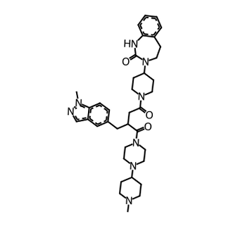 CN1CCC(N2CCN(C(=O)C(CC(=O)N3CCC(N4CCc5ccccc5NC4=O)CC3)Cc3ccc4c(cnn4C)c3)CC2)CC1